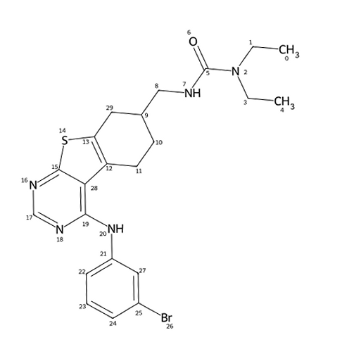 CCN(CC)C(=O)NCC1CCc2c(sc3ncnc(Nc4cccc(Br)c4)c23)C1